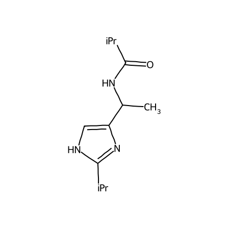 CC(C)C(=O)NC(C)c1c[nH]c(C(C)C)n1